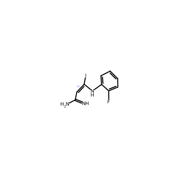 N=C(N)/C=C(/I)Nc1ccccc1F